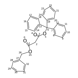 O=C(CC(=O)OC(c1ccccc1)(c1ccccc1)c1ccccc1)OCc1ccccc1